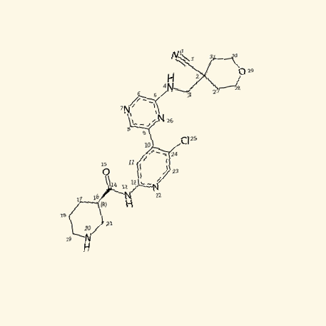 N#CC1(CNc2cncc(-c3cc(NC(=O)[C@@H]4CCCNC4)ncc3Cl)n2)CCOCC1